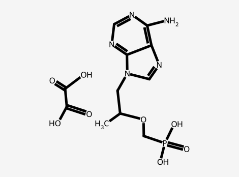 CC(Cn1cnc2c(N)ncnc21)OCP(=O)(O)O.O=C(O)C(=O)O